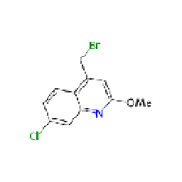 COc1cc(CBr)c2ccc(Cl)cc2n1